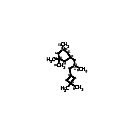 CN(CC1CC(C)(C)C1)CC1CN(C)CC(C)(C)C1